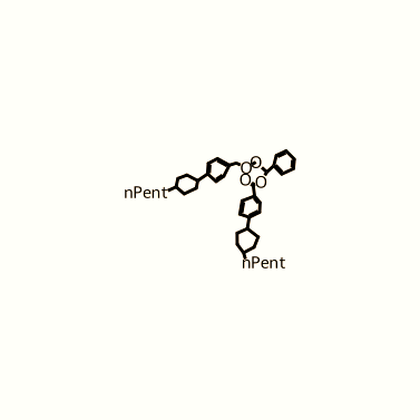 CCCCCC1CCC(c2ccc(COOC(OC(=O)c3ccc(C4CCC(CCCCC)CC4)cc3)c3ccccc3)cc2)CC1